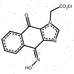 CCOC(=O)Cn1cnc2c1C(=O)c1ccccc1/C2=N\O